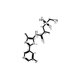 Cc1nc(-c2cncc(F)c2)sc1NC(=O)C(C)CS(=N)(=O)CC#N